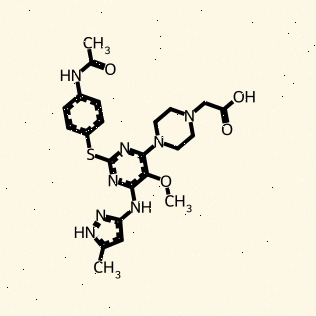 COc1c(Nc2cc(C)[nH]n2)nc(Sc2ccc(NC(C)=O)cc2)nc1N1CCN(CC(=O)O)CC1